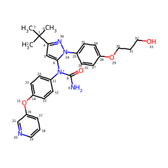 CC(C)(C)c1cc(N(C(N)=O)c2ccc(Oc3cccnc3)cc2)n(-c2ccc(OCCCO)cc2)n1